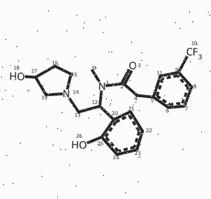 CN(C(=O)Cc1cccc(C(F)(F)F)c1)C(CN1CCC(O)C1)c1ccccc1O